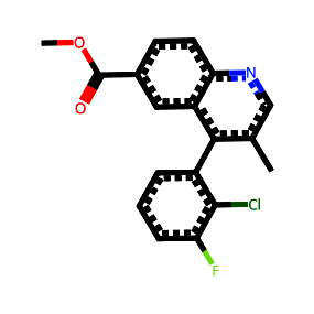 COC(=O)c1ccc2ncc(C)c(-c3cccc(F)c3Cl)c2c1